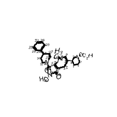 CN1CC([C@@H]2CCCN(C(=O)O)C2)C[C@H](C(=O)NO)[C@H]1C(=O)N1CCC(c2ccccc2)CC1